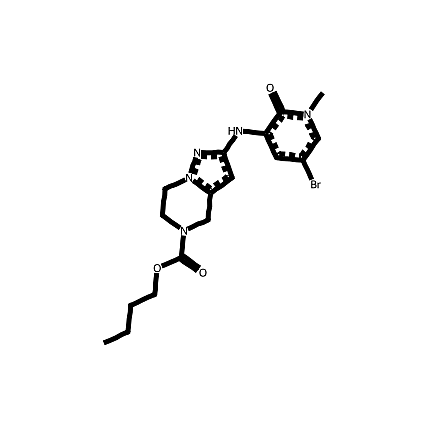 CCCCOC(=O)N1CCn2nc(Nc3cc(Br)cn(C)c3=O)cc2C1